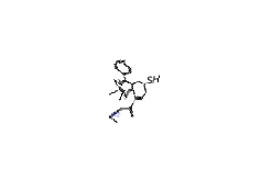 C=C(/C=C\C)C1=CC=C(S)Cc2c1nc(C)nc2-c1ccccc1